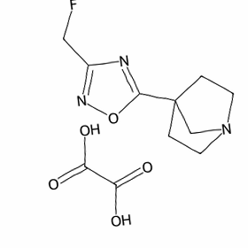 FCc1noc(C23CCN(CC2)C3)n1.O=C(O)C(=O)O